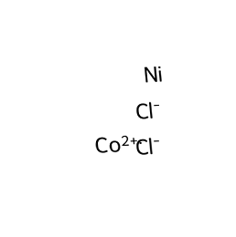 [Cl-].[Cl-].[Co+2].[Ni]